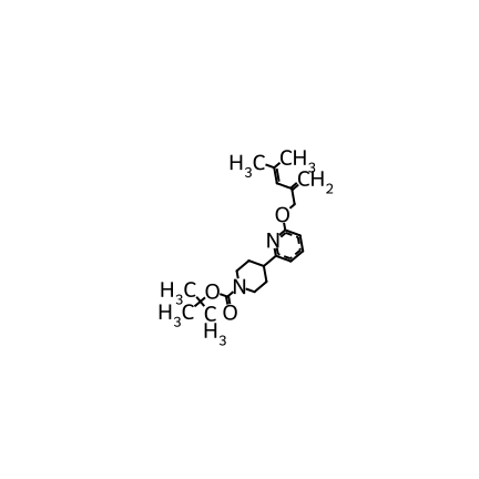 C=C(C=C(C)C)COc1cccc(C2CCN(C(=O)OC(C)(C)C)CC2)n1